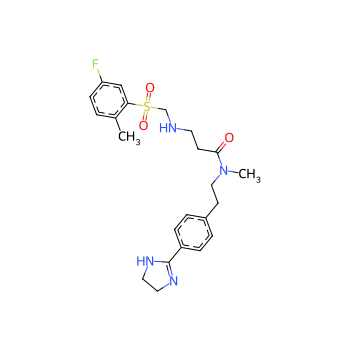 Cc1ccc(F)cc1S(=O)(=O)CNCCC(=O)N(C)CCc1ccc(C2=NCCN2)cc1